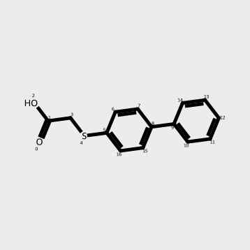 O=C(O)CSc1ccc(-c2ccccc2)cc1